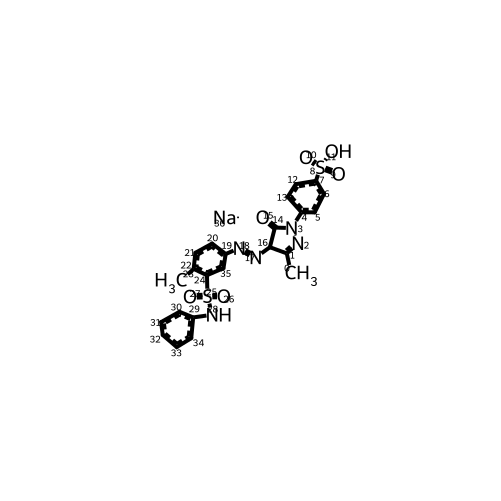 CC1=NN(c2ccc(S(=O)(=O)O)cc2)C(=O)C1N=Nc1ccc(C)c(S(=O)(=O)Nc2ccccc2)c1.[Na]